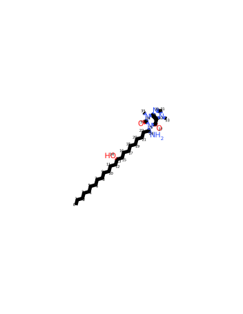 CCCCCCCCCCCCCC(O)CCCCCCCCC(N)n1c(=O)c2c(ncn2C)n(C)c1=O